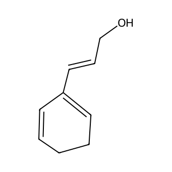 OC/C=C/C1=CCCC=C1